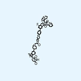 Cn1nc(N2CCC(=O)NC2=O)c2ccc(C3CCN(CC(=O)N4CC5(C4)CN(c4ccc(-c6cc(F)c7c(c6)C(=O)N(C(C(=O)Nc6ccccn6)c6ncn8c6CCC8)C7)cc4)C5)CC3)cc21